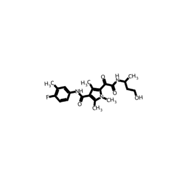 Cc1cc(NC(=O)c2c(C)c(C(=O)C(=O)NC(C)CCO)n(C)c2C)ccc1F